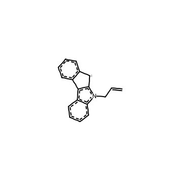 C=CCn1c2c(c3ccccc31)-c1ccccc1[C]2